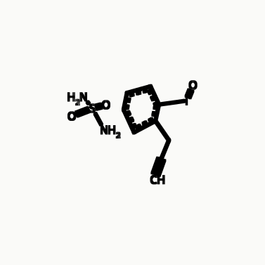 C#CCc1ccccc1I=O.NS(N)(=O)=O